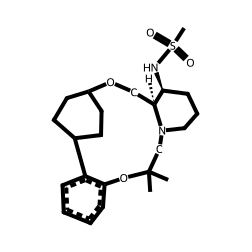 CC1(C)CN2CCC[C@H](NS(C)(=O)=O)[C@@H]2COC2CCC(CC2)c2ccccc2O1